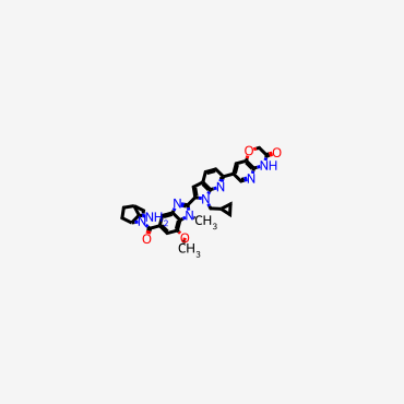 COc1cc(C(=O)N2CC3CCC2C3N)cc2nc(-c3cc4ccc(-c5cnc6c(c5)OCC(=O)N6)nc4n3CC3CC3)n(C)c12